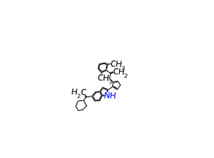 C=C(CC1=CCC=C1c1cc2cc(C(=C)C3CCCCC3)ccc2[nH]1)c1c(C)cccc1C